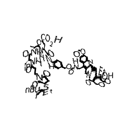 CCCCC(I)(CC)SC1CC(=O)N(CCC(=O)N[C@H](CC(C)C)C(=O)N[C@@H](C)C(=O)N[C@@H](CCC(=O)O)C(=O)Nc2ccc(COC(=O)NCc3c4c(nc5cc6c(cc35)OCO6)-c3cc5c(c(=O)n3C4)COC(=O)[C@]5(O)CC)cc2)C1=O